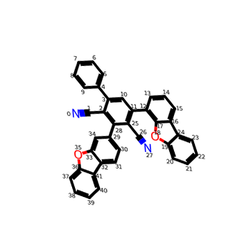 N#Cc1c(-c2ccccc2)cc(-c2cccc3c2oc2ccccc23)c(C#N)c1-c1ccc2c(c1)oc1ccccc12